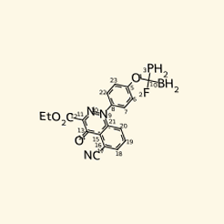 BC(F)(P)Oc1ccc(-n2nc(C(=O)OCC)c(=O)c3c(C#N)cccc32)cc1